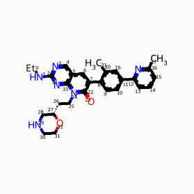 CCNc1ncc2cc(-c3ccc(-c4cccc(C)n4)cc3C)c(=O)n(CC[C@H]3CNCCO3)c2n1